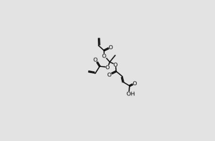 C=CC(=O)OC(C)(OC(=O)C=C)OC(=O)/C=C/C(=O)O